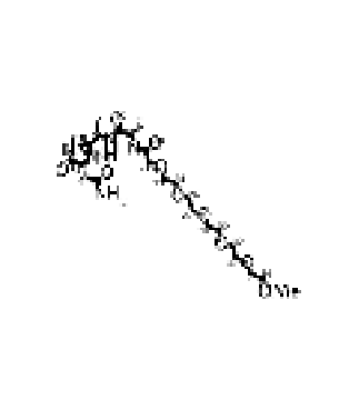 CNC(=O)[C@@H](CC(N)=O)NC(=O)[C@@H](C)NC(=O)[C@@H](C)NC(=O)COCCOCCOCCOCCOCCOC